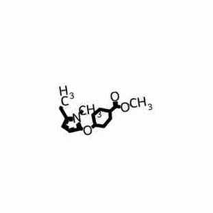 CCc1ccc(OC2CCC(C(=O)OC)CC2)n1C